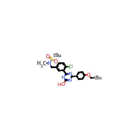 CN(Cc1ccc(Cl)c(-c2nc(O)nc(-c3ccc(OCC(C)(C)C)cc3)n2)c1)S(=O)(=O)C(C)(C)C